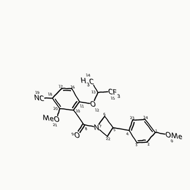 COc1ccc(C2CN(C(=O)c3c(OC(C)C(F)(F)F)ccc(C#N)c3OC)C2)cc1